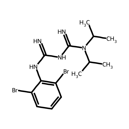 CC(C)N(C(=N)NC(=N)Nc1c(Br)cccc1Br)C(C)C